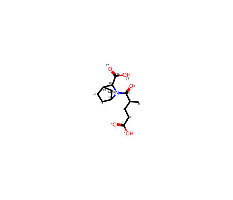 CC(CCC(=O)O)C(=O)N1C2CCC(C2)C1C(=O)O